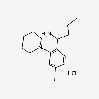 CCCC(N)c1ccc(C)cc1N1CCCCC1.Cl